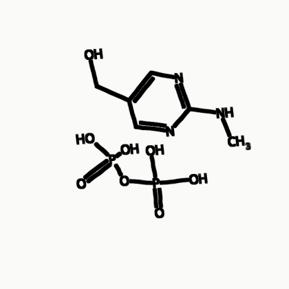 CNc1ncc(CO)cn1.O=P(O)(O)OP(=O)(O)O